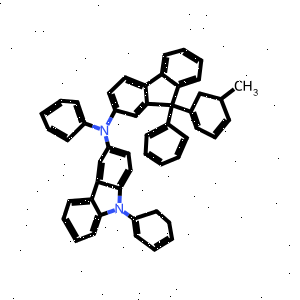 CC1C=CC=C(C2(c3ccccc3)c3ccccc3-c3ccc(N(c4ccccc4)c4ccc5c(c4)c4ccccc4n5C4=CC=CCC4)cc32)C1